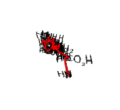 CCCC[C@H](NC(=O)[C@H](Cc1c[nH]cn1)NC(=O)[C@H](CN)NC(=O)[C@@H](CO)NC(=O)[C@H](CCC(N)=O)NC(=O)CNC(=O)COCCOCCNC(=O)[C@H](CCC(=O)O)NC(=O)CCCCCCCCCCCCCCCc1nnn[nH]1)C(=O)N[C@H]1CCC(=O)NCCCC[C@@H](C(C)=O)NC(=O)[C@H](Cc2c[nH]c3ccccc23)NC(=O)[C@H](CCCNC(=N)N)NC(=O)[C@@H](Cc2ccccc2)NC(=O)[C@@H]2C[C@@H](O)CN2C1=O